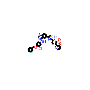 CCC(NC(Cc1ccccn1)=S(=O)=O)c1nc(-c2ccc3ncnc(Nc4ccc(OCc5cccc(F)c5)c(Cl)c4)c3c2)cs1